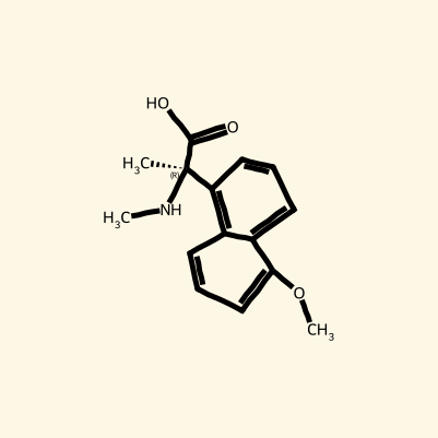 CN[C@@](C)(C(=O)O)c1cccc2c(OC)cccc12